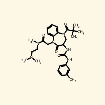 Cc1cccc(NC(=O)NC2CN(C(=O)C(C)(C)C)c3ccccc3N(CC(=O)N(C)CCN(C)C)C2=O)c1